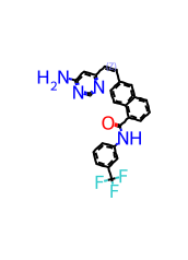 Nc1cc(/C=C\c2ccc3c(C(=O)Nc4cccc(C(F)(F)F)c4)cccc3c2)ncn1